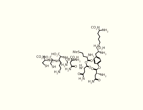 CSCC[C@H](N)C(=O)OC(=O)[C@@H](N)CC(N)=O.NC(=O)C[C@H](N)C(=O)O.NC(=O)C[C@H](N)C(=O)Oc1ccc(C[C@H](N)C(=O)O)cc1.NCC(=O)O.NCCCC[C@H](N)C(=O)O.NCCCC[C@H](N)C(=O)O.N[C@@H](CS)C(=O)O.N[C@@H](CS)C(=O)O